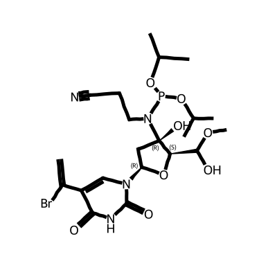 C=C(Br)c1cn([C@H]2C[C@](O)(N(CCC#N)P(OC(C)C)OC(C)C)[C@@H](C(O)OC)O2)c(=O)[nH]c1=O